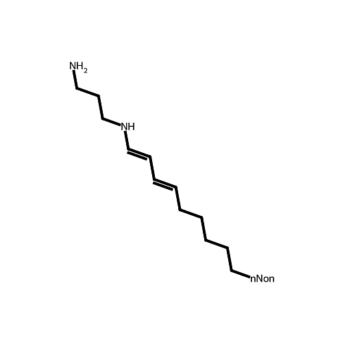 CCCCCCCCCCCCCCC=CC=CNCCCN